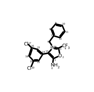 Nc1oc(C(F)(F)F)[n+](Cc2ccccc2)c1-c1cc(Cl)cc(Cl)c1